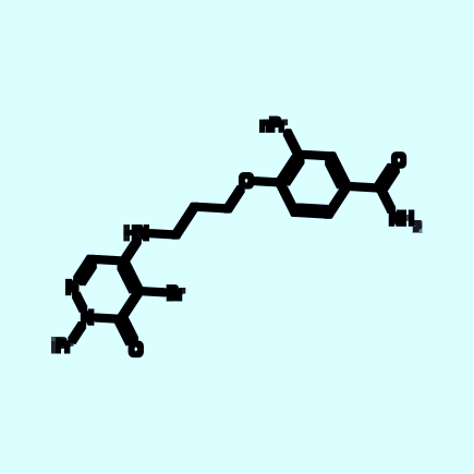 CCCc1cc(C(N)=O)ccc1OCCCNc1cnn(C(C)C)c(=O)c1Br